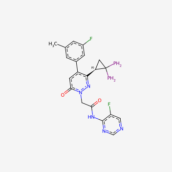 Cc1cc(F)cc(-c2cc(=O)n(CC(=O)Nc3ncncc3F)nc2[C@H]2CC2(P)P)c1